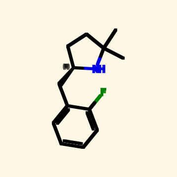 CC1(C)CC[C@H](Cc2ccccc2F)N1